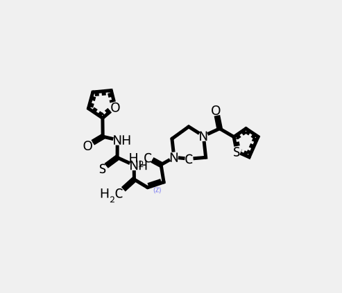 C=C(/C=C\C(=C)N1CCN(C(=O)c2cccs2)CC1)NC(=S)NC(=O)c1ccco1